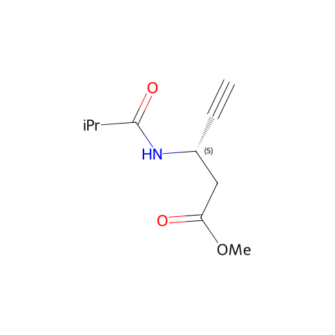 C#C[C@H](CC(=O)OC)NC(=O)C(C)C